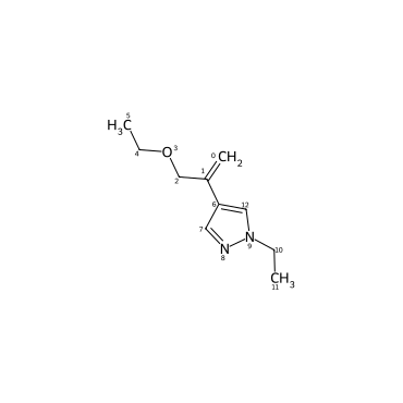 C=C(COCC)c1cnn(CC)c1